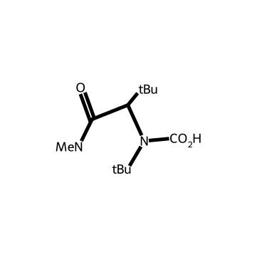 CNC(=O)C(N(C(=O)O)C(C)(C)C)C(C)(C)C